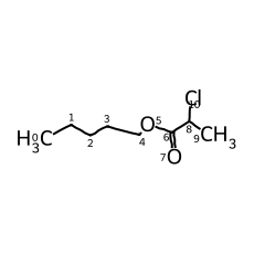 CCCCCOC(=O)C(C)Cl